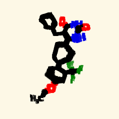 CCOc1ccc(C2=CCC(c3[nH]c(=O)[nH]c(=O)c3Cc3ccccc3)CC2)c(C(F)(F)F)c1